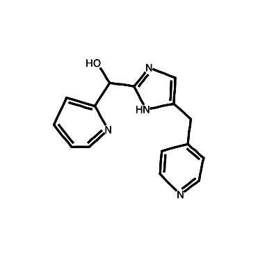 OC(c1ccccn1)c1ncc(Cc2ccncc2)[nH]1